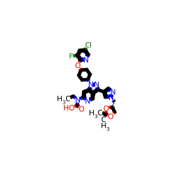 CCN(C(=O)O)c1cc2c(cn1)c(-c1cnn(C[C@@H]3COC(C)(C)O3)c1)nn2C1CCC(Oc2ncc(Cl)cc2F)CC1